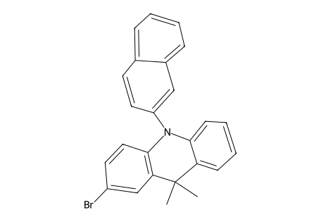 CC1(C)c2ccccc2N(c2ccc3ccccc3c2)c2ccc(Br)cc21